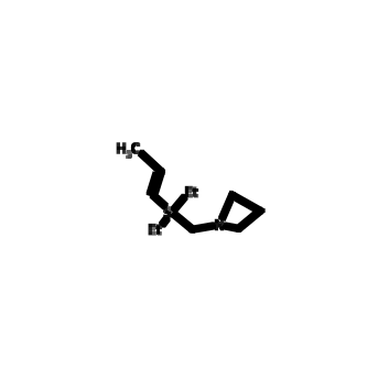 CC=C[Si](CC)(CC)CN1CCC1